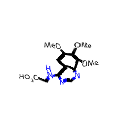 COc1cc2c(NCC(=O)O)ncnc2c(OC)c1OC